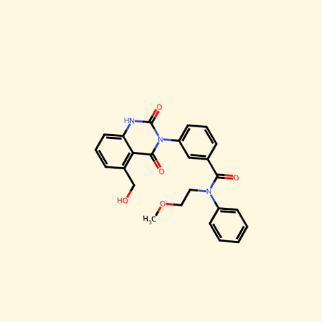 COCCN(C(=O)c1cccc(-n2c(=O)[nH]c3cccc(CO)c3c2=O)c1)c1ccccc1